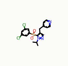 CC(C)n1n[c]c(Cc2ccncc2)c1S(=O)(=O)c1cc(Cl)cc(Cl)c1